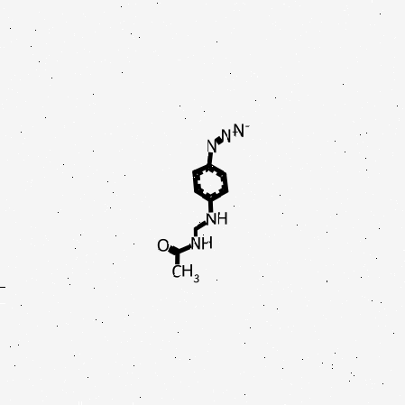 CC(=O)NCNc1ccc(N=[N+]=[N-])cc1